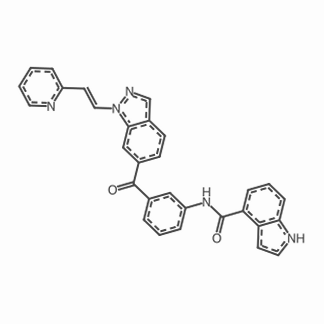 O=C(c1cccc(NC(=O)c2cccc3[nH]ccc23)c1)c1ccc2cnn(C=Cc3ccccn3)c2c1